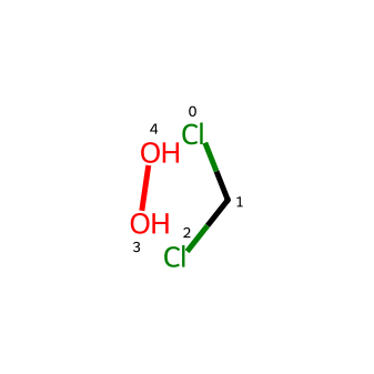 ClCCl.OO